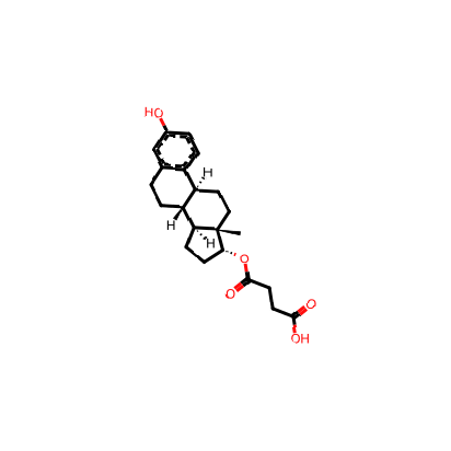 C[C@]12CC[C@@H]3c4ccc(O)cc4CC[C@H]3[C@@H]1CC[C@H]2OC(=O)CCC(=O)O